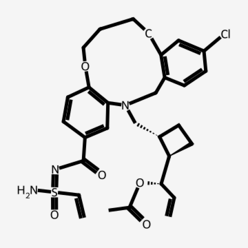 C=C[C@H](OC(C)=O)[C@@H]1CC[C@H]1CN1Cc2ccc(Cl)cc2CCCCOc2ccc(C(=O)N=S(N)(=O)C=C)cc21